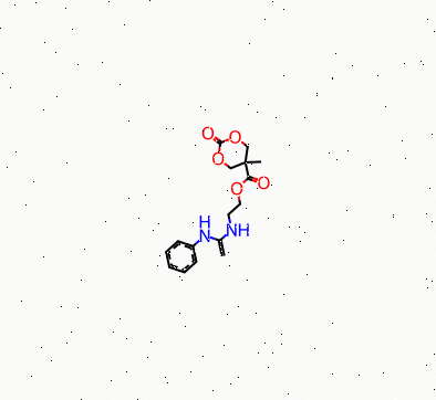 C=C(NCCOC(=O)C1(C)COC(=O)OC1)Nc1ccccc1